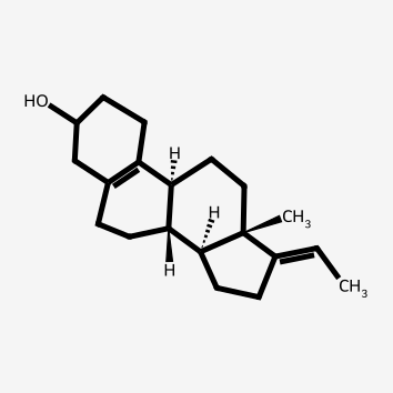 C/C=C1\CC[C@H]2[C@@H]3CCC4=C(CCC(O)C4)[C@H]3CC[C@]12C